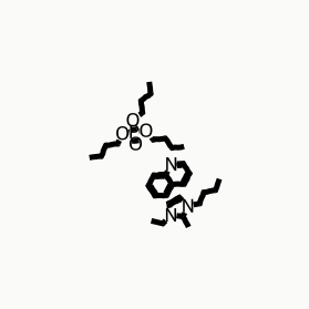 CCCCN1C=CN(CC)C1C.CCCCOP(=O)(OCCCC)OCCCC.c1ccc2ncccc2c1